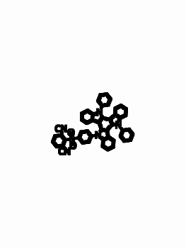 N#Cc1cccc(C#N)c1S(=O)(=O)c1ccc(-n2c3ccccc3c3c4c(c5ccccc5n4-c4ccccc4)c4c(c5ccccc5n4-c4ccccc4)c32)cc1